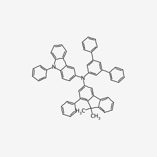 CC1(C)c2ccccc2-c2cc(N(c3cc(-c4ccccc4)cc(-c4ccccc4)c3)c3ccc4c(c3)c3ccccc3n4-c3ccccc3)cc(-c3ccccc3)c21